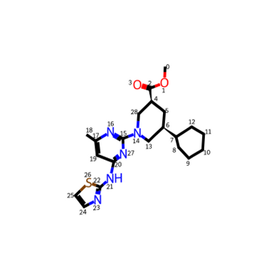 COC(=O)[C@H]1C[C@@H](C2CCCCC2)CN(c2nc(C)cc(Nc3nccs3)n2)C1